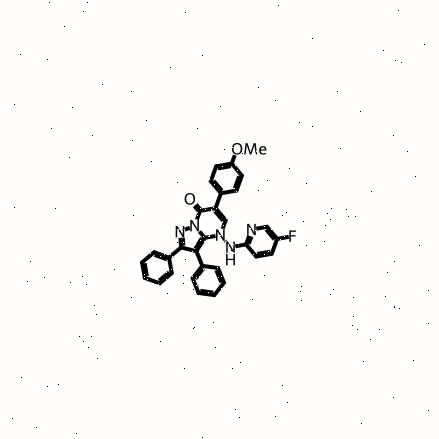 COc1ccc(-c2cn(Nc3ccc(F)cn3)c3c(-c4ccccc4)c(-c4ccccc4)nn3c2=O)cc1